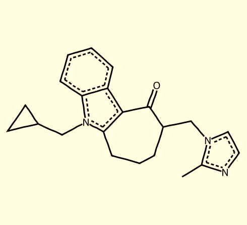 Cc1nccn1CC1CCCc2c(c3ccccc3n2CC2CC2)C1=O